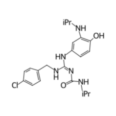 CC(C)NC(=O)/N=C(\NCc1ccc(Cl)cc1)Nc1ccc(O)c(NC(C)C)c1